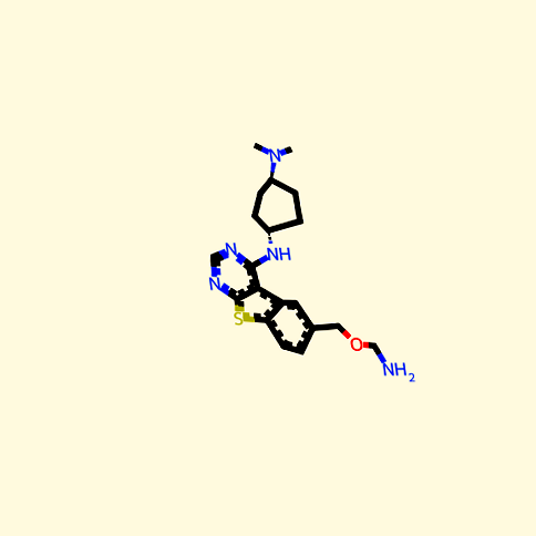 CN(C)[C@H]1CC[C@H](Nc2ncnc3sc4ccc(COCN)cc4c23)CC1